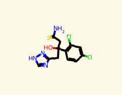 NC(=S)CC(O)(Cc1nc[nH]n1)c1ccc(Cl)cc1Cl